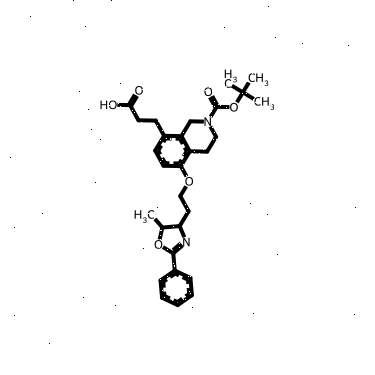 CC1OC(c2ccccc2)=NC1CCOc1ccc(CCC(=O)O)c2c1CCN(C(=O)OC(C)(C)C)C2